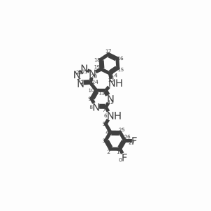 Fc1ccc(CNc2ncc3c(n2)Nc2ccccc2-n2nnnc2-3)cc1F